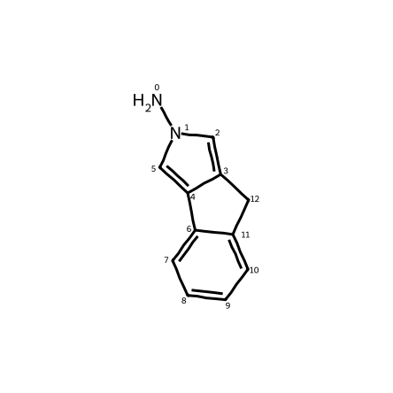 Nn1cc2c(c1)-c1ccccc1C2